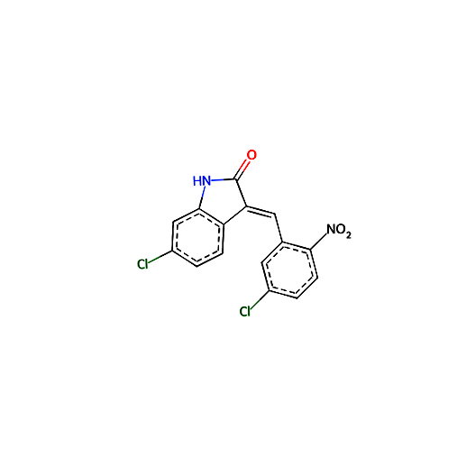 O=C1Nc2cc(Cl)ccc2C1=Cc1cc(Cl)ccc1[N+](=O)[O-]